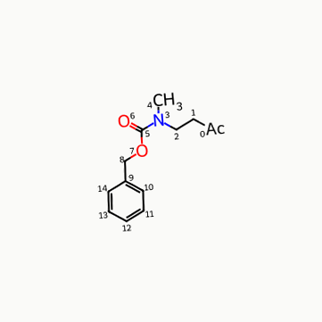 CC(=O)CCN(C)C(=O)OCc1ccccc1